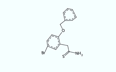 NC(=S)Cc1cc(Br)ccc1OCc1ccccc1